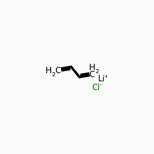 C=CC=C.[Cl-].[Li+]